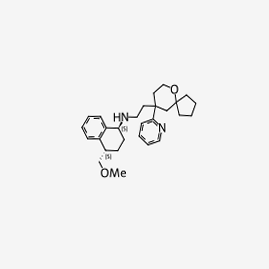 COC[C@H]1CC[C@H](NCCC2(c3ccccn3)CCOC3(CCCC3)C2)c2ccccc21